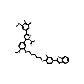 COc1ccc(C2CC(c3cc(C)c(C)c(OC)c3)=NN2C(C)=O)cc1OCCCCCOc1ccc(-c2nc3ccccc3s2)cc1C